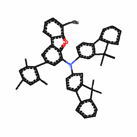 Cc1cc(C)c(-c2cc(N(c3ccc4c(c3)C(C)(C)c3ccccc3-4)c3ccc4c(c3)C(C)(C)c3ccccc3-4)c3oc4c(C(C)(C)C)cccc4c3c2)c(C)c1